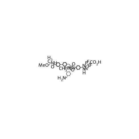 COC[C@H](C)NC(=O)c1ccc(-c2ccc(CC(NC(=O)[C@H]3CC[C@H](CN)CC3)C(=O)Nc3ccc(-c4nc(C(F)(F)C(F)(F)C(=O)O)n[nH]4)cc3)cc2)c(C)c1